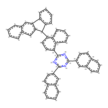 c1ccc2c(c1)-c1cc3ccccc3cc1C2c1ccc(-c2nc(-c3ccc4ccccc4c3)nc(-c3ccc4ccccc4c3)n2)c2ccccc12